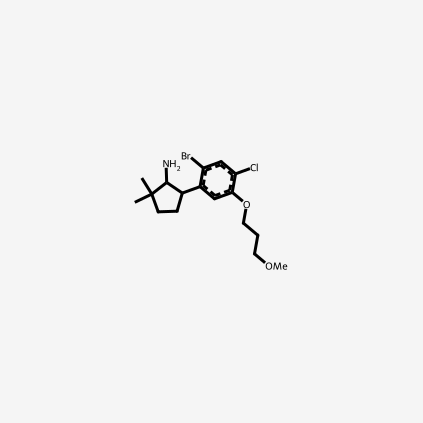 COCCCOc1cc(C2CCC(C)(C)C2N)c(Br)cc1Cl